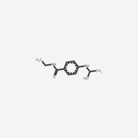 CCNC(=O)c1ccc(NC(C)O)cc1